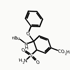 CCCCNC1(Oc2ccccc2)C=CC(C(=O)O)=CC1S(N)(=O)=O